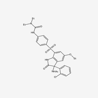 CCOc1cc2c(c(S(=O)(=O)c3ccc(NC(=O)N(CC)CC)cc3)c1)NC(=O)C2(NC(C)=O)c1ccccc1Cl